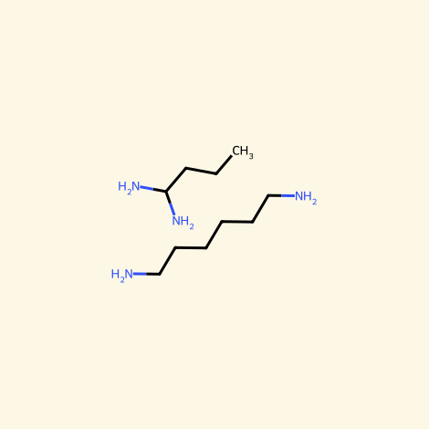 CCCC(N)N.NCCCCCCN